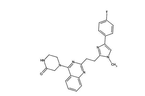 Cn1cc(-c2ccc(F)cc2)nc1CCc1nc(N2CCNC(=O)C2)c2ccccc2n1